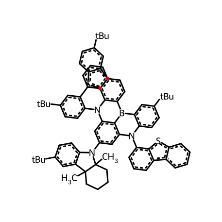 CC(C)(C)c1ccc2c(c1)B1c3ccc4c(sc5ccc(C(C)(C)C)cc54)c3N(c3ccc(C(C)(C)C)cc3-c3ccccc3)c3cc(N4c5ccc(C(C)(C)C)cc5C5(C)CCCCC45C)cc(c31)N2c1cccc2c1sc1ccccc12